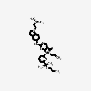 C=CCn1c(=O)c2cnc(Nc3ccc4c(ccn4CCN(C)C)c3)nc2n1-c1cccc(C(C)(C)OCCC)n1